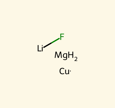 [Cu].[Li][F].[MgH2]